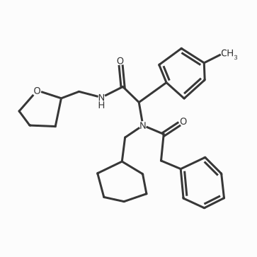 Cc1ccc(C(C(=O)NCC2CCCO2)N(CC2CCCCC2)C(=O)Cc2ccccc2)cc1